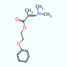 CC(=CN(C)C)C(=O)OCCOc1ccccc1